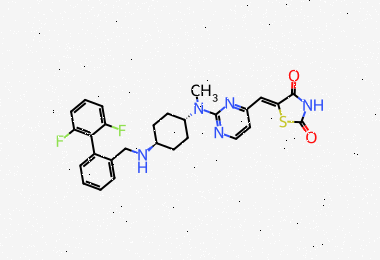 CN(c1nccc(/C=C2\SC(=O)NC2=O)n1)[C@H]1CC[C@H](NCc2ccccc2-c2c(F)cccc2F)CC1